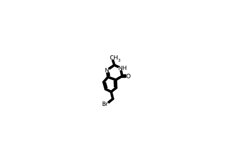 CC1N=C2C=CC(CBr)C=C2C(=O)N1